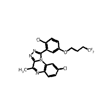 Cc1nc2ccc(Cl)cc2n2c(-c3cc(OCCCC(F)(F)F)ccc3Cl)nnc12